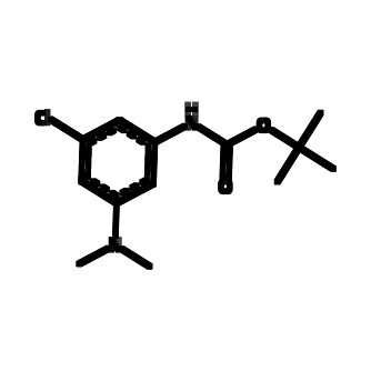 CN(C)c1cc(Cl)cc(NC(=O)OC(C)(C)C)c1